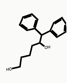 OCCCCC(O)C(c1ccccc1)c1ccccc1